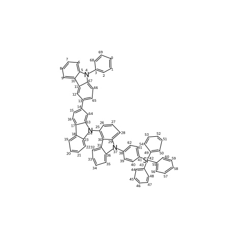 c1ccc(-n2c3ccccc3c3cc(-c4ccc5c6ccccc6n(-c6cccc7c6c6ccccc6n7-c6ccc([Si](c7ccccc7)(c7ccccc7)c7ccccc7)cc6)c5c4)ccc32)cc1